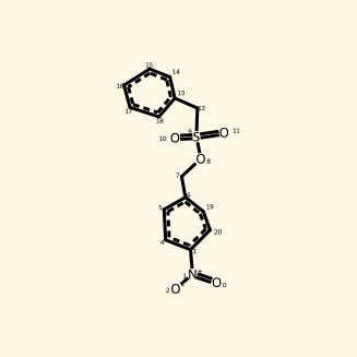 O=[N+]([O-])c1ccc(COS(=O)(=O)Cc2ccccc2)cc1